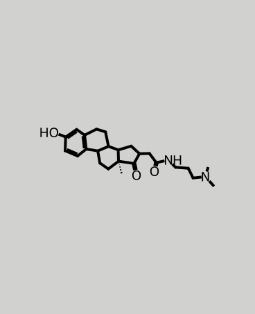 CN(C)CCCNC(=O)CC1CC2C3CCc4cc(O)ccc4C3CC[C@]2(C)C1=O